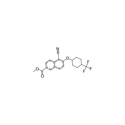 COC(=O)c1ccc2c(C#N)c(OC3CCC(C(F)(F)F)CC3)ccc2c1